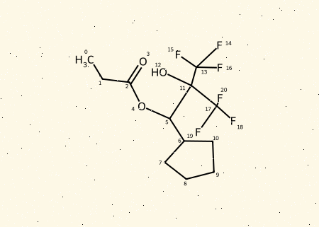 CCC(=O)OC(C1CCCC1)C(O)(C(F)(F)F)C(F)(F)F